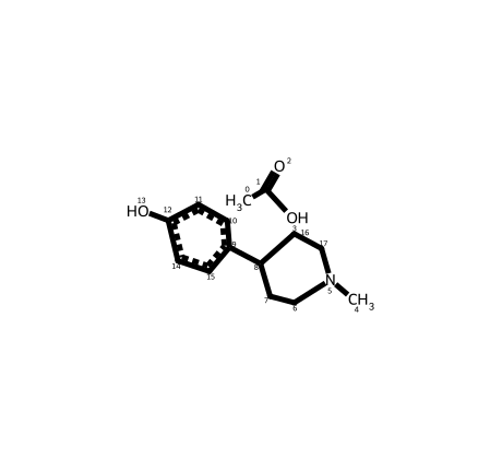 CC(=O)O.CN1CCC(c2ccc(O)cc2)CC1